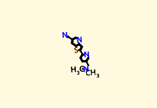 CN(C)Cc1ccc(-c2cc3ncc(C#N)cc3s2)nc1